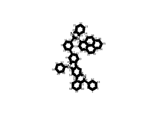 c1ccc(-c2nc3cc4c5ccc(-c6cccc(-c7nc8ccccc8n7-c7ccc8ccc9cccc%10ccc7c8c9%10)c6)cc5n(-c5ccccc5)c4cc3c3ccccc23)cc1